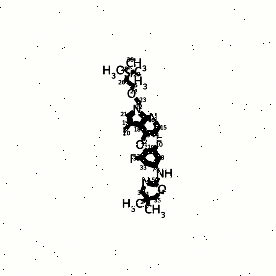 CC1(C)CN=C(Nc2cc(F)c(Oc3ccnc4c3c(I)cn4COCC[Si](C)(C)C)c(F)c2)OC1